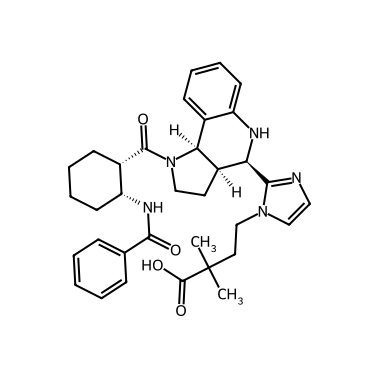 CC(C)(CCn1ccnc1[C@@H]1Nc2ccccc2[C@H]2[C@@H]1CCN2C(=O)[C@H]1CCCC[C@H]1NC(=O)c1ccccc1)C(=O)O